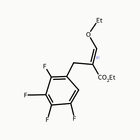 CCO/C=C(\Cc1cc(F)c(F)c(F)c1F)C(=O)OCC